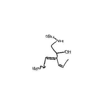 C/C=C\C(=C/NC)C(O)CNC(C)(C)C